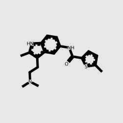 Cc1ccc(C(=O)Nc2ccc3[nH]c(C)c(CCN(C)C)c3c2)s1